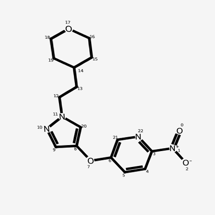 O=[N+]([O-])c1ccc(Oc2cnn(CCC3CCOCC3)c2)cn1